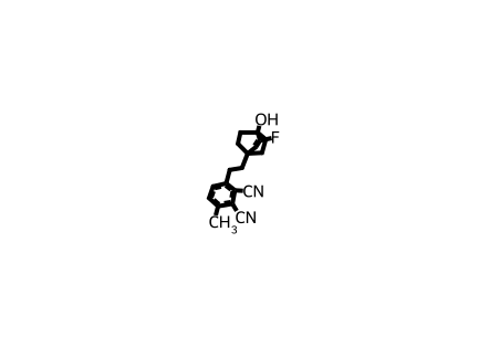 Cc1ccc(CCC23C=C(F)C(O)(CC2)CC3)c(C#N)c1C#N